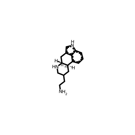 NCCC1CN[C@@H]2Cc3c[nH]c4cccc(c34)[C@H]2C1